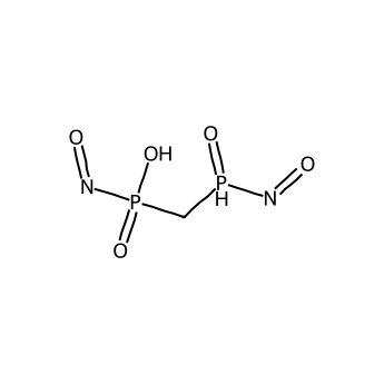 O=N[PH](=O)CP(=O)(O)N=O